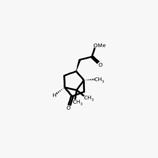 COC(=O)C[C@@H]1C[C@@H]2C(=O)C[C@@]1(C)C2(C)C